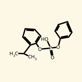 CC(C)c1ccccc1OP(=O)(O)Oc1ccccc1